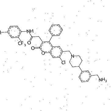 NCc1cccc(C2CCN(Cc3cc4c(-c5ccccc5)c(CC(=O)Nc5ccc(Cl)cc5C(F)(F)F)c(=O)oc4cc3Cl)CC2)c1